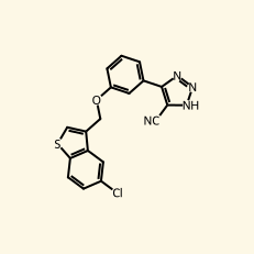 N#Cc1[nH]nnc1-c1cccc(OCc2csc3ccc(Cl)cc23)c1